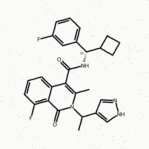 Cc1c(C(=O)N[C@H](c2cccc(F)c2)C2CCC2)c2cccc(F)c2c(=O)n1C(C)c1cn[nH]c1